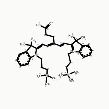 CC1(C)C(/C=C/C(=C/C=C2\N(CCC[N+](C)(C)C)c3ccccc3C2(C)C)CCC(=O)O)=[N+](CCC[N+](C)(C)C)c2ccccc21